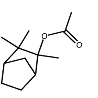 CC(=O)OC1(C)C2CCC(C2)C1(C)C